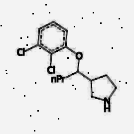 CCCC(Oc1cccc(Cl)c1Cl)C1CCNC1